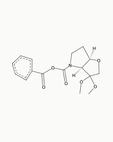 COC1(OC)CO[C@@H]2CCN(C(=O)OC(=O)c3ccccc3)[C@@H]21